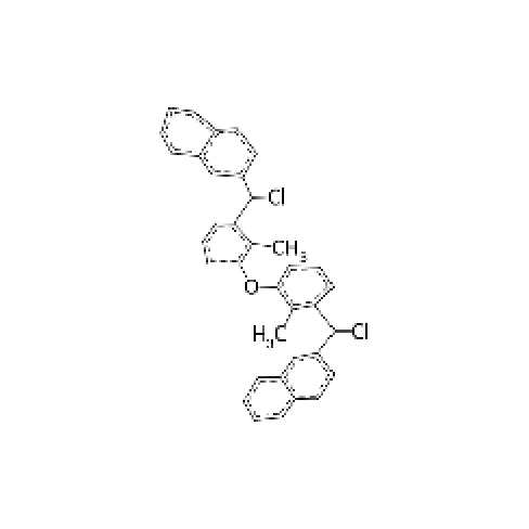 Cc1c(Oc2cccc(C(Cl)c3ccc4ccccc4c3)c2C)cccc1C(Cl)c1ccc2ccccc2c1